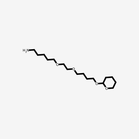 NCCCCCOCCOCCCCOC1CCCCO1